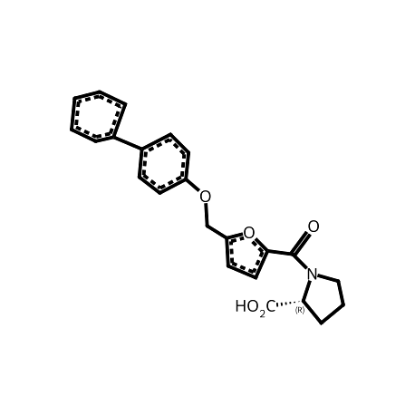 O=C(O)[C@H]1CCCN1C(=O)c1ccc(COc2ccc(-c3ccccc3)cc2)o1